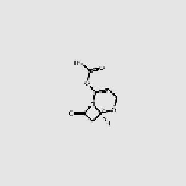 O=C(O)OC1=CCO[C@H]2CC(=O)N12